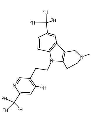 [2H]c1cc(C([2H])([2H])[2H])ncc1CCn1c2c(c3cc(C([2H])([2H])[2H])ccc31)CN(C)CC2